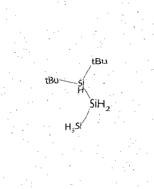 CC(C)(C)[SiH]([SiH2][SiH3])C(C)(C)C